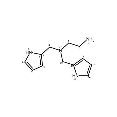 NCCN(Cc1ccc[nH]1)Cc1ccc[nH]1